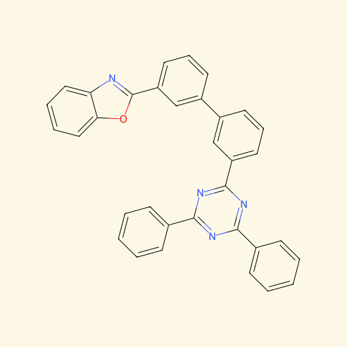 c1ccc(-c2nc(-c3ccccc3)nc(-c3cccc(-c4cccc(-c5nc6ccccc6o5)c4)c3)n2)cc1